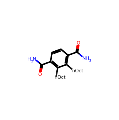 CCCCCCCCc1c(C(N)=O)ccc(C(N)=O)c1CCCCCCCC